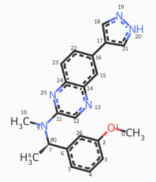 COc1cccc([C@@H](C)N(C)c2cnc3cc(-c4cn[nH]c4)ccc3n2)c1